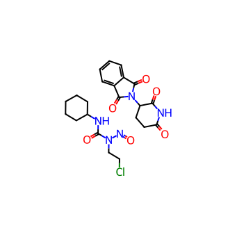 O=C1CCC(N2C(=O)c3ccccc3C2=O)C(=O)N1.O=NN(CCCl)C(=O)NC1CCCCC1